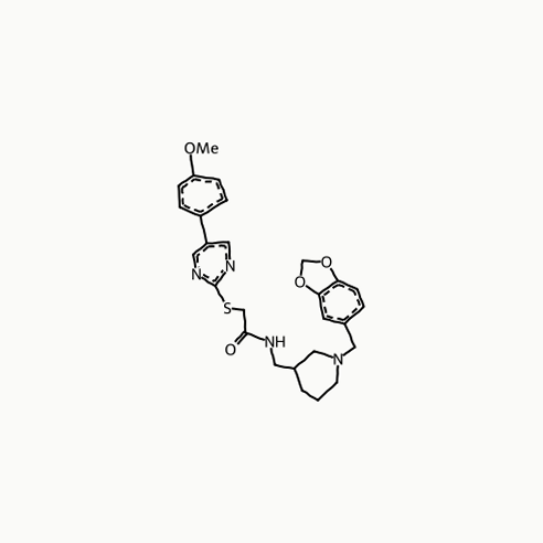 COc1ccc(-c2cnc(SCC(=O)NCC3CCCN(Cc4ccc5c(c4)OCO5)C3)nc2)cc1